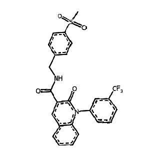 CS(=O)(=O)c1ccc(CNC(=O)c2cc3ccccc3n(-c3cccc(C(F)(F)F)c3)c2=O)cc1